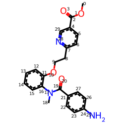 COC(=O)c1ccc(CCOc2ccccc2N(C)C(=O)c2ccc(N)cc2)nc1